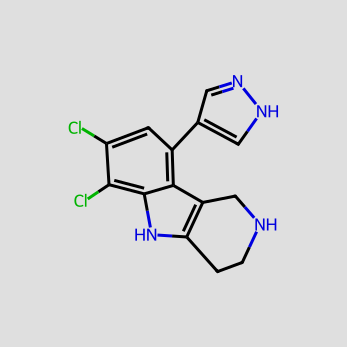 Clc1cc(-c2cn[nH]c2)c2c3c([nH]c2c1Cl)CCNC3